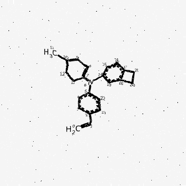 C=Cc1ccc(N(C2=CCC(C)CC2)c2ccc3c(c2)CC3)cc1